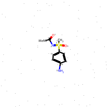 CNC(=O)N=S(C)(=O)c1ccc(N)cc1